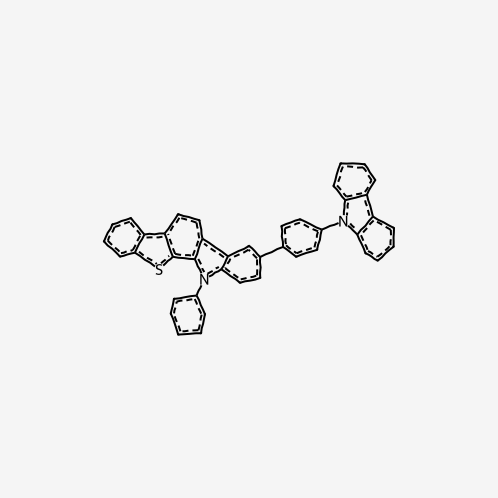 c1ccc(-n2c3ccc(-c4ccc(-n5c6ccccc6c6ccccc65)cc4)cc3c3ccc4c5ccccc5sc4c32)cc1